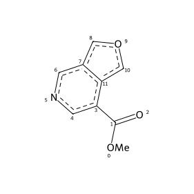 COC(=O)c1cncc2cocc12